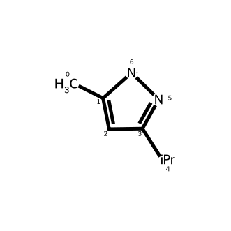 CC1=CC(C(C)C)=N[N]1